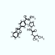 CCC(C)CC(=O)N[C@H]1CC[C@@H](N(C)C(=O)c2ccc(-c3nc4ccccc4o3)cc2)C1